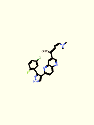 CN(C)/C=C\C=C(/C=O)c1cnc2ccc(-c3c[nH]nc3-c3cc(Cl)ccc3F)nc2c1